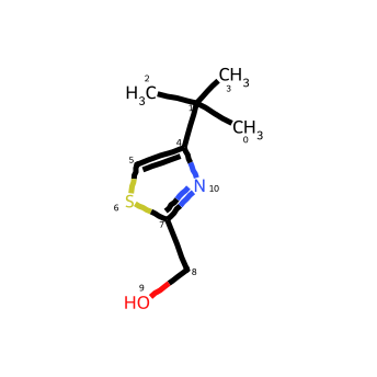 CC(C)(C)c1csc(CO)n1